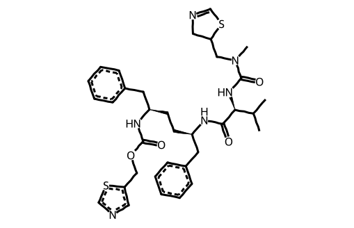 CC(C)[C@H](NC(=O)N(C)CC1CN=CS1)C(=O)N[C@H](CC[C@H](Cc1ccccc1)NC(=O)OCc1cncs1)Cc1ccccc1